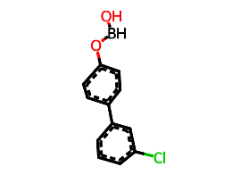 OBOc1ccc(-c2cccc(Cl)c2)cc1